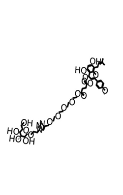 COc1ccc(-c2oc3c(CC=C(C)C)c(O)cc(O)c3c(=O)c2OC(=O)CCC(=O)OCCOCCOCCOCCOCc2cn(CCO[C@H]3OC(CO)C(O)[C@@H](O)[C@@H]3O)nn2)cc1